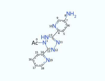 CC(=O)N1NC(c2ccc(N)cn2)=NN=C1c1ccccn1